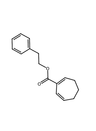 O=C(OCCc1ccccc1)C1=CCCCC=C1